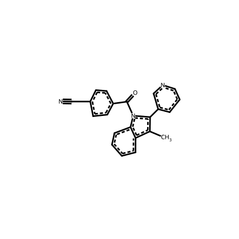 Cc1c(-c2cccnc2)n(C(=O)c2ccc(C#N)cc2)c2ccccc12